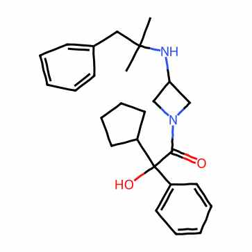 CC(C)(Cc1ccccc1)NC1CN(C(=O)C(O)(c2ccccc2)C2CCCC2)C1